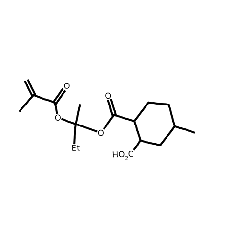 C=C(C)C(=O)OC(C)(CC)OC(=O)C1CCC(C)CC1C(=O)O